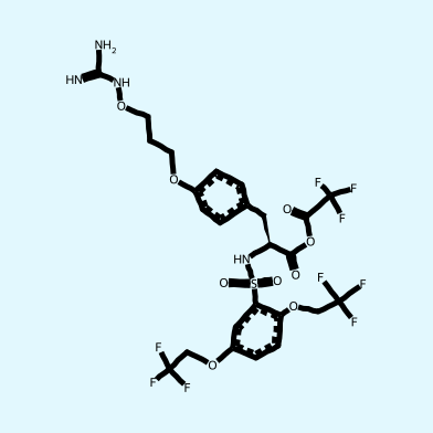 N=C(N)NOCCCOc1ccc(C[C@H](NS(=O)(=O)c2cc(OCC(F)(F)F)ccc2OCC(F)(F)F)C(=O)OC(=O)C(F)(F)F)cc1